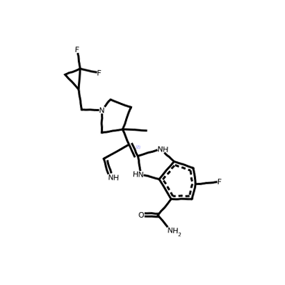 CC1(/C(C=N)=C2\Nc3cc(F)cc(C(N)=O)c3N2)CCN(CC2CC2(F)F)C1